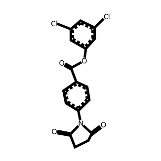 O=C(Oc1cc(Cl)cc(Cl)c1)c1ccc(N2C(=O)CCC2=O)cc1